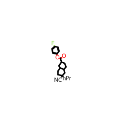 CCCC1(C#N)CCC2CC(C(=O)Oc3ccc(F)cc3)CCC2C1